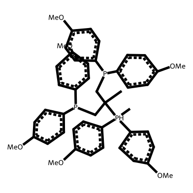 COc1ccc(P(CC(C)(CP(c2ccc(OC)cc2)c2ccc(OC)cc2)[PH](C)(c2ccc(OC)cc2)c2ccc(OC)cc2)c2ccc(OC)cc2)cc1